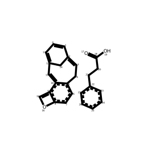 C1=C/C2=C/Cc3ccc4c(/c3=C/C(=C1)C2)=CO4.O=C(O)CCc1ccccc1